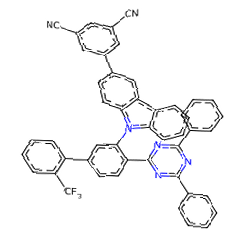 N#Cc1cc(C#N)cc(-c2ccc3c(c2)c2ccccc2n3-c2cc(-c3ccccc3C(F)(F)F)ccc2-c2nc(-c3ccccc3)nc(-c3ccccc3)n2)c1